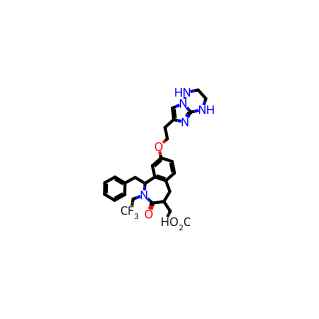 O=C(O)CC1Cc2ccc(OCCc3cn4c(n3)NCCN4)cc2C(Cc2ccccc2)N(CC(F)(F)F)C1=O